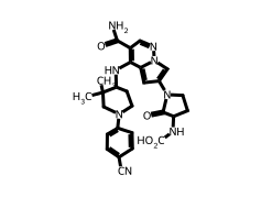 CC1(C)CN(c2ccc(C#N)cc2)CCC1Nc1c(C(N)=O)cnn2cc(N3CCC(NC(=O)O)C3=O)cc12